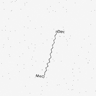 CCCCCCCCCCCCCCCCCCCCCCCCCCCCCOC